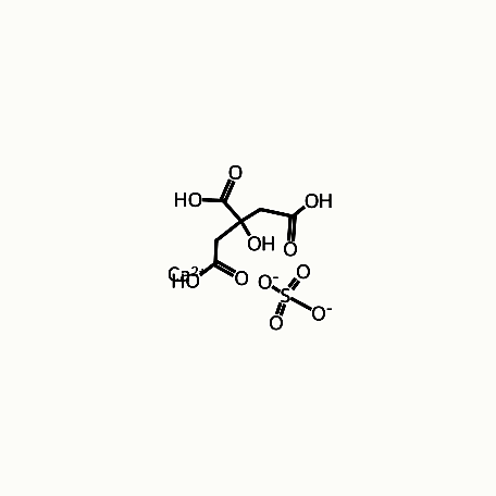 O=C(O)CC(O)(CC(=O)O)C(=O)O.O=S(=O)([O-])[O-].[Ca+2]